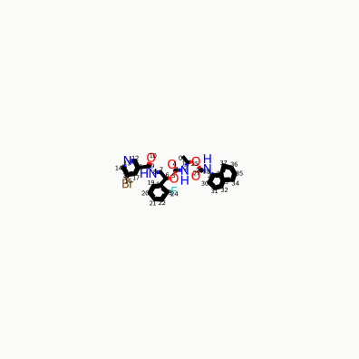 CC(NC(=O)OC(CNC(=O)c1cncc(Br)c1)c1ccccc1F)OC(=O)Nc1cccc2ccccc12